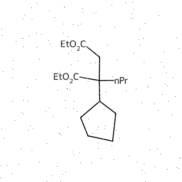 CCCC(CC(=O)OCC)(C(=O)OCC)C1CCCC1